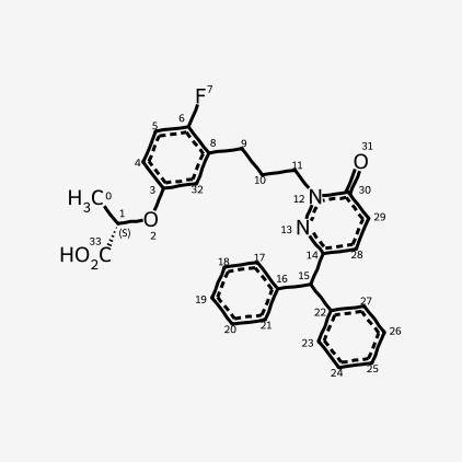 C[C@H](Oc1ccc(F)c(CCCn2nc(C(c3ccccc3)c3ccccc3)ccc2=O)c1)C(=O)O